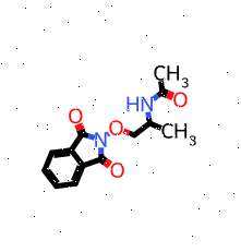 CC(=O)NC(C)CON1C(=O)c2ccccc2C1=O